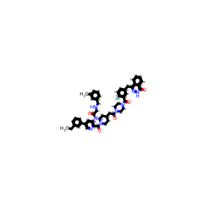 CCc1cccc(-c2cnc(C(=O)N3CCC(CC(=O)N4CCN(C(=O)c5cc(Cc6n[nH]c(=O)c7ccccc67)ccc5F)CC4)CC3)c(NC(=O)CNCc3cccc(C)c3)c2)c1